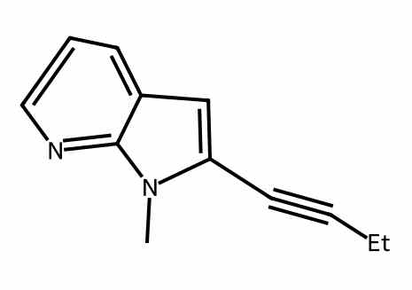 CCC#Cc1cc2cccnc2n1C